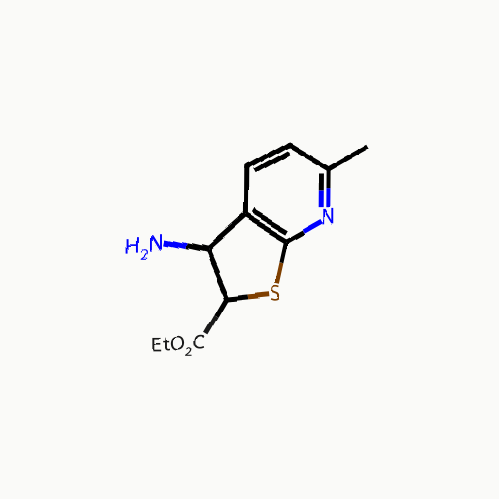 CCOC(=O)C1Sc2nc(C)ccc2C1N